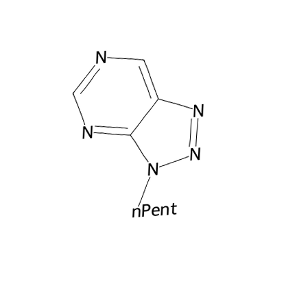 CCCCCn1nnc2cncnc21